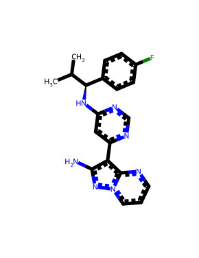 CC(C)[C@H](Nc1cc(-c2c(N)nn3cccnc23)ncn1)c1ccc(F)cc1